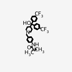 CN(C)C(=O)Nc1ccc(CN2CCC(C(O)(c3ccc(C(F)(F)F)cc3)c3ccc(C(F)(F)F)cc3)CC2)cc1